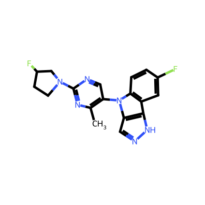 Cc1nc(N2CCC(F)C2)ncc1-n1c2ccc(F)cc2c2[nH]ncc21